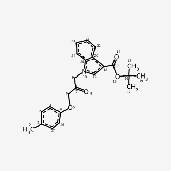 Cc1ccc(OCC(=O)Cn2cc(C(=O)OC(C)(C)C)c3ccccc32)cc1